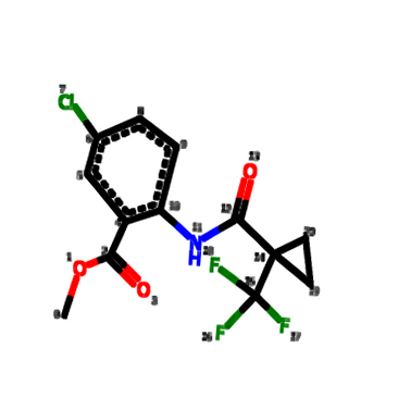 COC(=O)c1cc(Cl)ccc1NC(=O)C1(C(F)(F)F)CC1